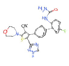 N#Cc1c(N2CCOCC2)sc(-c2nc[nH]n2)c1-c1ccc(-c2cc(F)ccc2NC(N)=O)cc1